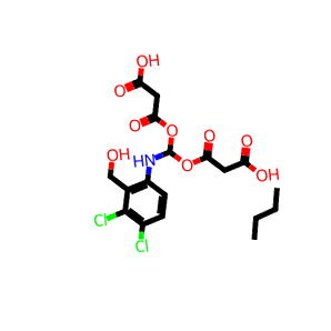 CCCC.O=C(O)CC(=O)OC(Nc1ccc(Cl)c(Cl)c1CO)OC(=O)CC(=O)O